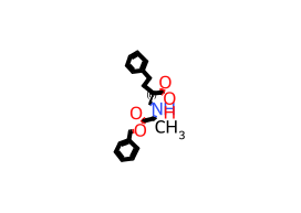 CC(NC[C@@H](CCc1ccccc1)C(=O)O)C(=O)OCc1ccccc1